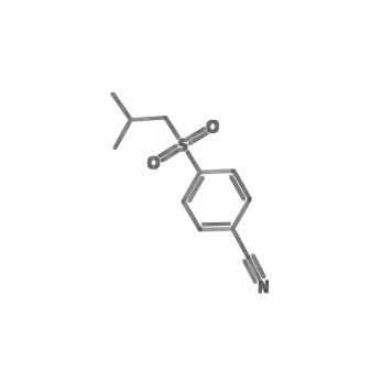 CC(C)CS(=O)(=O)c1ccc(C#N)cc1